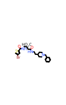 O=C(CCC(NC(=O)c1cc(Br)cs1)C(=O)O)NCCC1CCN(Cc2ccccc2)CC1